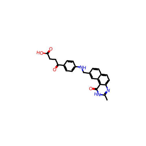 Cc1nc2ccc3ccc(CNc4ccc(C(=O)CCC(=O)O)cc4)cc3c2c(=O)[nH]1